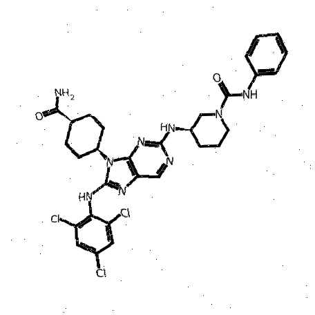 NC(=O)[C@H]1CC[C@@H](n2c(Nc3c(Cl)cc(Cl)cc3Cl)nc3cnc(N[C@@H]4CCCN(C(=O)Nc5ccccc5)C4)nc32)CC1